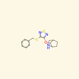 c1ccc(CSc2nsnc2OC2C3CCC2NC3)cc1